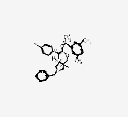 C[C@@H](OC1OC[C@@H]2CN(Cc3ccccc3)C[C@H]2C1[C@@H]1C=CC(F)=CC1)c1cc(C(F)(F)F)cc(C(F)(F)F)c1